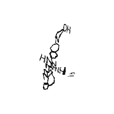 Nc1nc(Nc2ccc3c(c2)CCC(N2CC[C@H](O)C2)CC3)nn1-c1cc2c(nn1)-c1ccccc1CCC2